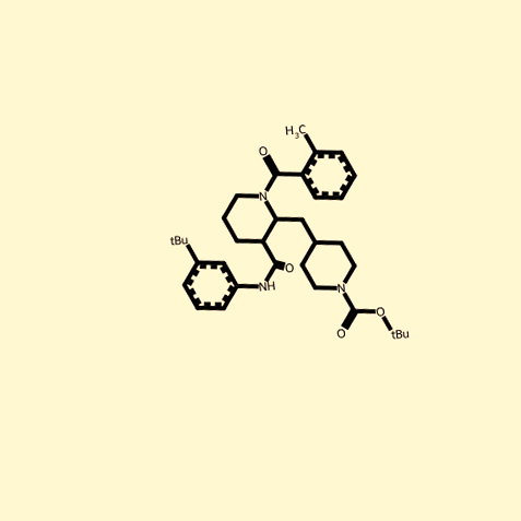 Cc1ccccc1C(=O)N1CCCC(C(=O)Nc2cccc(C(C)(C)C)c2)C1CC1CCN(C(=O)OC(C)(C)C)CC1